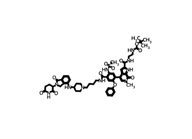 Cn1cc(-c2cc(NS(C)(=O)=O)c(C(=O)NCCCCN3CCC(Nc4cccc5c4CN(C4CCC(=O)NC4=O)C5=O)CC3)cc2Oc2ccccc2)c2cc(C(=O)NCCNC(=O)OC(C)(C)C)[nH]c2c1=O